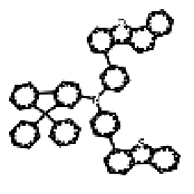 c1ccc(C2(c3ccccc3)c3ccccc3-c3ccc(N(c4ccc(-c5cccc6c5sc5ccccc56)cc4)c4cccc(-c5cccc6oc7c8ccccc8ccc7c56)c4)cc32)cc1